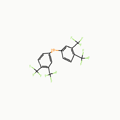 FC(F)(F)c1ccc(Pc2ccc(C(F)(F)F)c(C(F)(F)F)c2)cc1C(F)(F)F